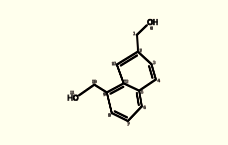 OCc1ccc2cccc(CO)c2c1